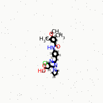 COc1c(C)cc(C(=O)Nc2ccc(Cc3nc(Cl)c(CC(=O)O)c(N4CCCC4)n3)cc2)cc1C